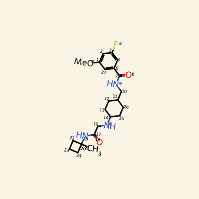 COc1cc(F)cc(C(=O)NCC2CCC(NCC(=O)NC3(C)CCC3)CC2)c1